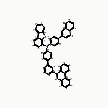 c1cc(-c2ccc(N(c3ccc(-c4ccc5ccccc5c4)cc3)c3cccc4c3sc3ccccc34)cc2)cc(-c2cc3ccccc3c3ccccc23)c1